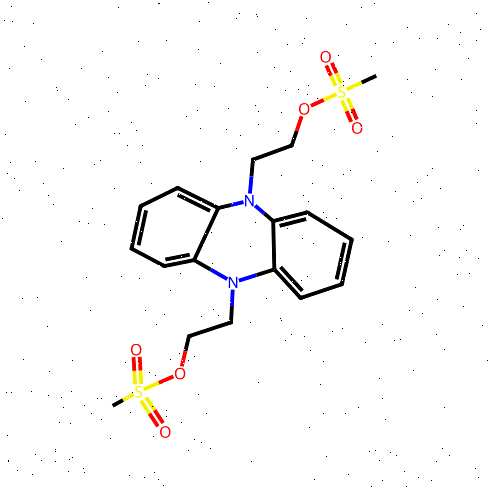 CS(=O)(=O)OCCN1c2ccccc2N(CCOS(C)(=O)=O)c2ccccc21